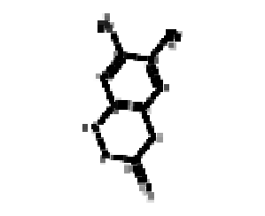 CC(C)c1cc2c(cc1C(C)C)SCC(=O)C2